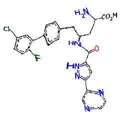 NC(CC(Cc1ccc(-c2cc(Cl)ccc2F)cc1)NC(=O)c1cc(-c2cnccn2)n[nH]1)C(=O)O